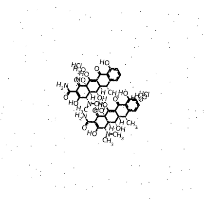 C[C@H]1c2cccc(O)c2C(=O)C2=C(O)[C@]3(O)C(=O)C(C(N)=O)=C(O)[C@@H](N(C)C)[C@@H]3[C@@H](O)[C@@H]21.C[C@H]1c2cccc(O)c2C(=O)C2=C(O)[C@]3(O)C(=O)C(C(N)=O)=C(O)[C@@H](N(C)C)[C@@H]3[C@@H](O)[C@@H]21.Cl.Cl.O.O.O